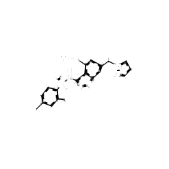 COc1cc(Cn2cccn2)cc2onc(NS(=O)(=O)c3ccc(C)cc3F)c12